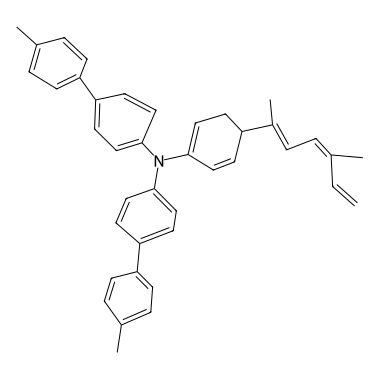 C=C/C(C)=C\C=C(/C)C1C=CC(N(c2ccc(-c3ccc(C)cc3)cc2)c2ccc(-c3ccc(C)cc3)cc2)=CC1